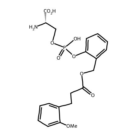 COc1ccccc1CCC(=O)OCc1ccccc1OP(=O)(O)OC[C@H](N)C(=O)O